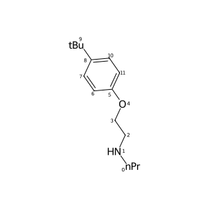 CCCNCCOc1ccc(C(C)(C)C)cc1